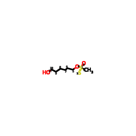 CS(=O)(=S)OCCCCCCO